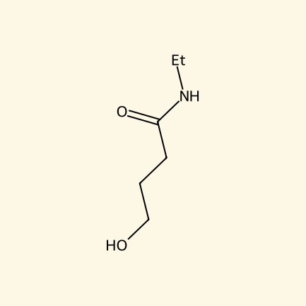 [CH2]CNC(=O)CCCO